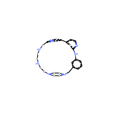 c1cc2cc(c1)Nc1cc(ccn1)-c1cnc(nc1)CNCCNCCN1CCN(CC1)C2